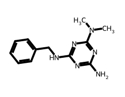 CN(C)c1nc(N)nc(NCc2ccccc2)n1